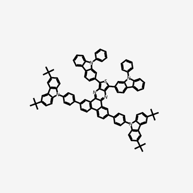 CC(C)(C)c1ccc2c(c1)c1cc(C(C)(C)C)ccc1n2-c1ccc(-c2ccc3c4ccc(-c5ccc(-n6c7ccc(C(C)(C)C)cc7c7cc(C(C)(C)C)ccc76)cc5)cc4c4nc5c(-c6ccc7c8ccccc8n(-c8ccccc8)c7c6)sc(-c6ccc7c8ccccc8n(-c8ccccc8)c7c6)c5nc4c3c2)cc1